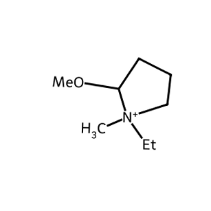 CC[N+]1(C)CCCC1OC